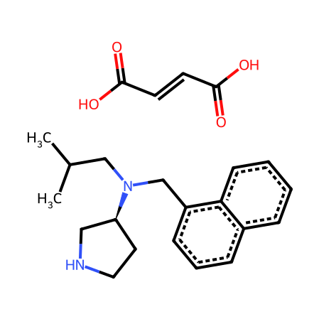 CC(C)CN(Cc1cccc2ccccc12)[C@H]1CCNC1.O=C(O)C=CC(=O)O